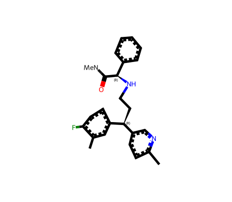 CNC(=O)[C@H](NCC[C@@H](c1ccc(C)nc1)c1ccc(F)c(C)c1)c1ccccc1